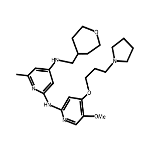 COc1cnc(Nc2cc(NCC3CCOCC3)cc(C)n2)cc1OCCCN1CCCC1